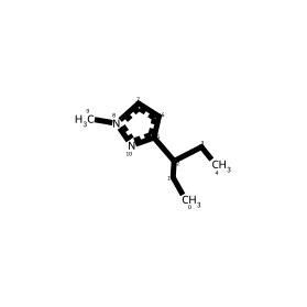 CCC(CC)c1ccn(C)n1